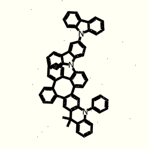 CC1(C)c2ccccc2N(c2ccccc2)c2cc3c(cc21)-c1ccccc1-c1ccccc1-c1c-3cccc1-n1c2ccccc2c2cc(-n3c4ccccc4c4ccccc43)ccc21